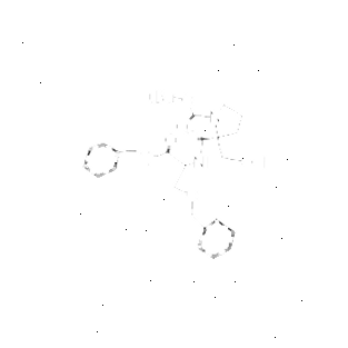 CC(C)(C)OC(=O)N1CCCC1(CO)C(=O)NC(COCc1ccccc1)C(=O)OCc1ccccc1